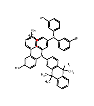 Cc1cc(N(c2cccc(C(C)C)c2)c2cccc(C(C)C)c2)cc(N(c2ccc3c(c2)C(C)(C)c2ccccc2C3(C)C)c2ccc(C(C)(C)C)cc2-c2ccc(C(C)(C)C)cc2)c1